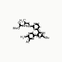 COC(=O)NC(C)CNc1nccc(-c2[nH]c(C(C)(C)C)nc2-c2cnc(N)c(C(C)=O)n2)n1